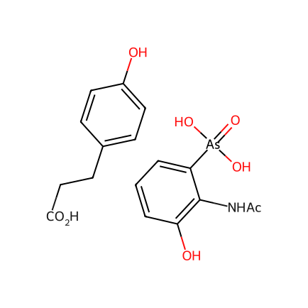 CC(=O)Nc1c(O)cccc1[As](=O)(O)O.O=C(O)CCc1ccc(O)cc1